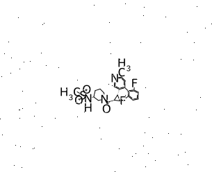 Cc1cc(-c2c(F)cccc2F)c([C@@H]2C[C@H]2C(=O)N2CCC[C@@H](NS(C)(=O)=O)C2)cn1